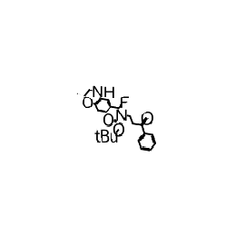 C[C@@H]1CNc2cc(C(F)N(CCC(=O)c3ccccc3)C(=O)OC(C)(C)C)ccc2O1